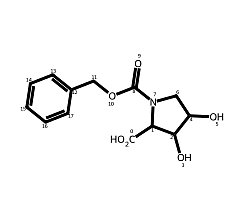 O=C(O)C1C(O)C(O)CN1C(=O)OCc1ccccc1